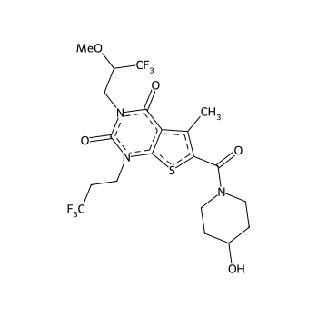 COC(Cn1c(=O)c2c(C)c(C(=O)N3CCC(O)CC3)sc2n(CCC(F)(F)F)c1=O)C(F)(F)F